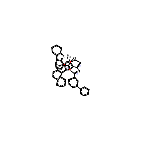 CC1C/C=C(c2cc3c(cc2Cl)oc2ccc4ccccc4c23)/N=C(c2cccc(-c3ccccc3)c2)\N=C/1c1cccc2c1oc1ccccc12